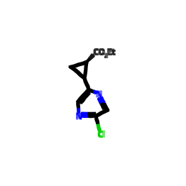 CCOC(=O)[C@@H]1CC1c1cnc(Cl)cn1